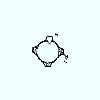 O=Nc1cc2cc3nc(cc4ccc(cc5nc(cc1[nH]2)C=C5)[nH]4)C=C3.[Fe]